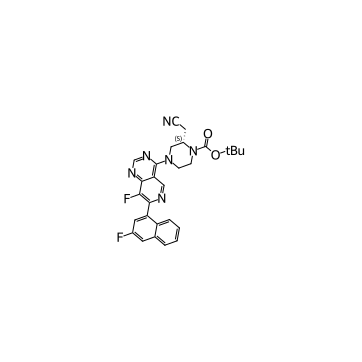 CC(C)(C)OC(=O)N1CCN(c2ncnc3c(F)c(-c4cc(F)cc5ccccc45)ncc23)C[C@@H]1CC#N